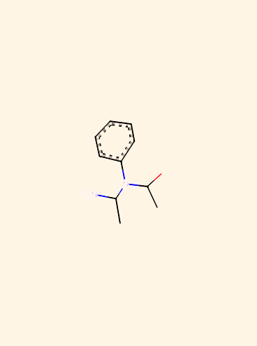 CC(N)N(c1ccccc1)C(C)O